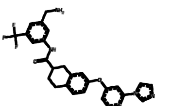 NCc1cc(NC(=O)C2CCc3ccc(Oc4ccnc(-n5ccnc5)c4)cc3C2)cc(C(F)(F)F)c1